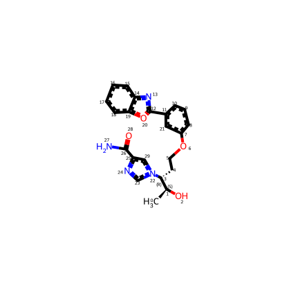 C[C@H](O)[C@@H](CCOc1cccc(-c2nc3ccccc3o2)c1)n1cnc(C(N)=O)c1